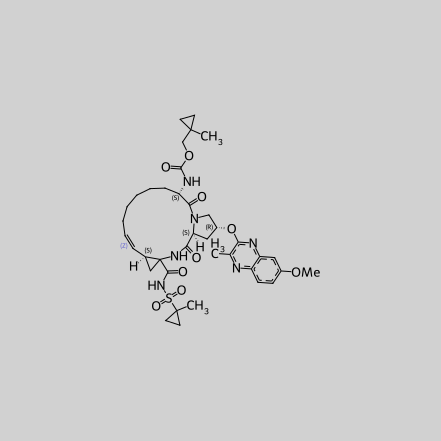 COc1ccc2nc(C)c(O[C@@H]3C[C@H]4C(=O)NC5(C(=O)NS(=O)(=O)C6(C)CC6)C[C@H]5/C=C\CCCCC[C@H](NC(=O)OCC5(C)CC5)C(=O)N4C3)nc2c1